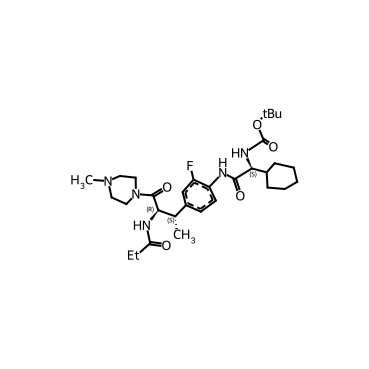 CCC(=O)N[C@@H](C(=O)N1CCN(C)CC1)[C@@H](C)c1ccc(NC(=O)[C@@H](NC(=O)OC(C)(C)C)C2CCCCC2)c(F)c1